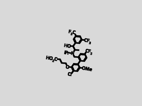 COc1cc(Cl)c(OCCCC(=O)O)cc1-c1ccc(C(F)(F)F)cc1CN(C(C)C)C(C)C(O)c1cc(C(F)(F)F)cc(C(F)(F)F)c1